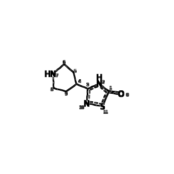 O=c1[nH]c(C2CCNCC2)ns1